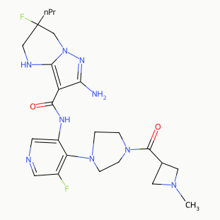 CCCC1(F)CNc2c(C(=O)Nc3cncc(F)c3N3CCN(C(=O)C4CN(C)C4)CC3)c(N)nn2C1